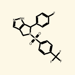 O=S(=O)(c1ccc(C(F)(F)F)cc1)N1Cc2cn[nH]c2C1c1ccc(F)cc1